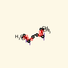 CC(C)C1(OC(=O)COc2c(I)cc(I)cc2COc2ccc(Cc3ccc(OCc4cc(I)cc(I)c4OCC(=O)OC4(C(C)C)CCCC4)cc3)cc2)CCCC1